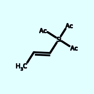 CC=C[Si](C(C)=O)(C(C)=O)C(C)=O